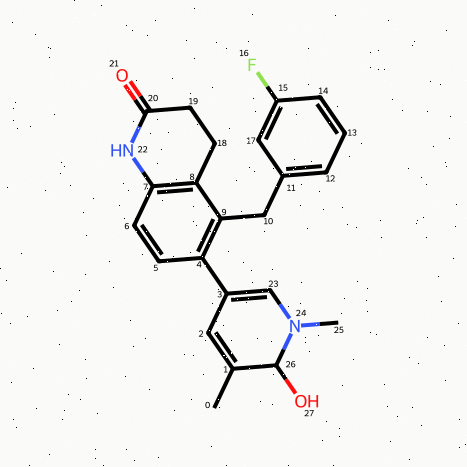 CC1=CC(c2ccc3c(c2Cc2cccc(F)c2)CCC(=O)N3)=CN(C)C1O